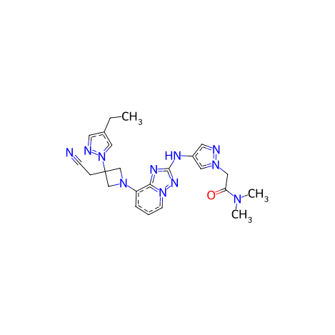 CCc1cnn(C2(CC#N)CN(c3cccn4nc(Nc5cnn(CC(=O)N(C)C)c5)nc34)C2)c1